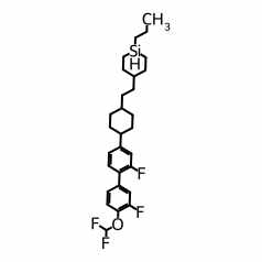 CCC[SiH]1CCC(CCC2CCC(c3ccc(-c4ccc(OC(F)F)c(F)c4)c(F)c3)CC2)CC1